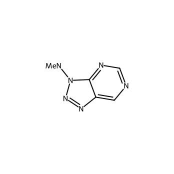 CNn1nnc2cncnc21